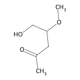 COC(CO)CC(C)=O